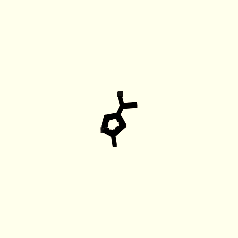 C=C(Cl)c1csc(C)c1